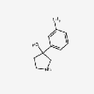 Cc1cccc(C2(O)CCNC2)c1